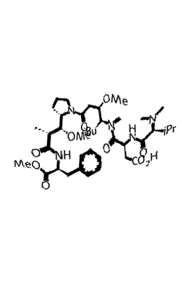 CC[C@H](C)[C@@H]([C@@H](CC(=O)N1CCC[C@H]1[C@H](OC)[C@@H](C)C(=O)N[C@@H](Cc1ccccc1)C(=O)OC)OC)N(C)C(=O)[C@H](CC(=O)O)NC(=O)[C@H](C(C)C)N(C)C